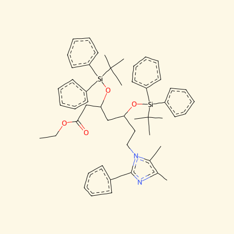 CCOC(=O)CC(CC(CCn1c(-c2ccccc2)nc(C)c1C)O[Si](c1ccccc1)(c1ccccc1)C(C)(C)C)O[Si](c1ccccc1)(c1ccccc1)C(C)(C)C